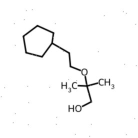 CC(C)(CO)OCCC1CCCCC1